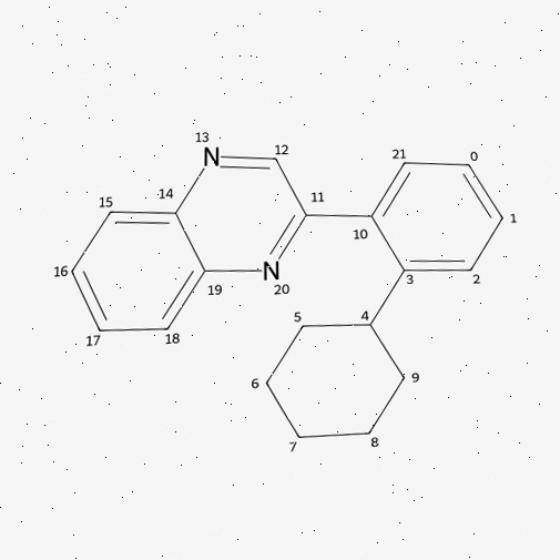 c1ccc(C2CCCCC2)c(-c2cnc3ccccc3n2)c1